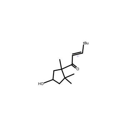 CC(C)(C)/C=C/C(=O)C1(C)CC(O)CC1(C)C